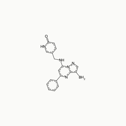 Bc1cnn2c(NCc3ccc(=O)[nH]c3)cc(-c3ccccc3)nc12